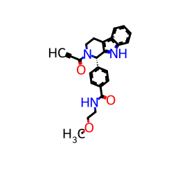 C#CC(=O)N1CCc2c([nH]c3ccccc23)[C@@H]1c1ccc(C(=O)NCCOC)cc1